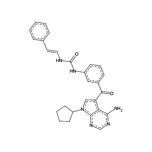 Nc1ncnc2c1c(C(=O)c1cccc(NC(=O)NC=Cc3ccccc3)c1)cn2C1CCCC1